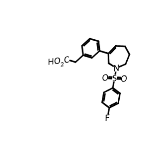 O=C(O)Cc1cccc(C2=CCCCN(S(=O)(=O)c3ccc(F)cc3)C2)c1